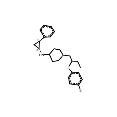 CCC(CN1CCC(N[C@@H]2C[C@H]2c2ccccc2)CC1)Oc1ccc(Br)cc1